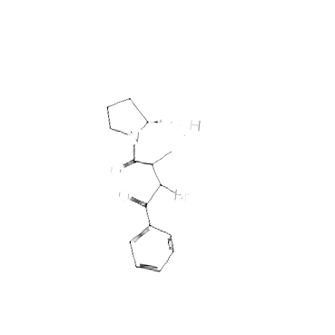 CC(C(=O)N1CCC[C@H]1C(=O)O)C(Br)C(=O)c1ccccc1